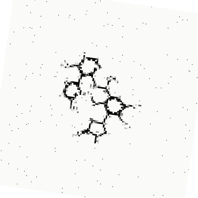 CCOc1c([C@H](C)Nc2ncnc(N)c2-c2nc(C)no2)cc(Cl)c(C)c1C1CNC(=O)C1